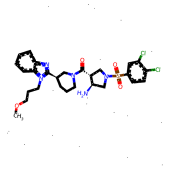 COCCCn1c([C@@H]2CCCN(C(=O)[C@@H]3CN(S(=O)(=O)c4ccc(Cl)c(Cl)c4)C[C@H]3N)C2)nc2ccccc21